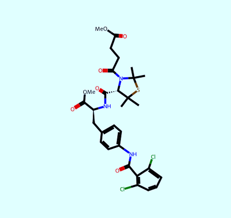 COC(=O)CCC(=O)N1[C@@H](C(=O)N[C@@H](Cc2ccc(NC(=O)c3c(Cl)cccc3Cl)cc2)C(=O)OC)C(C)(C)SC1(C)C